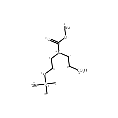 CC(C)(C)OC(=O)N(CCO[Si](C)(C)C(C)(C)C)CCC(=O)O